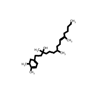 CCCCC/C(C)=C/CCC(C)CCCC(C)(O)CCC1=CC=C(C)C(C)C1